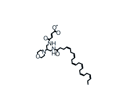 CC/C=C\C/C=C\C/C=C\C/C=C\C/C=C\C/C=C\CCC(=O)NCC(CNC(=O)/C=C/C(=O)OC)N1CCOCC1